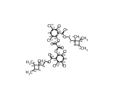 CC1CC(C)(CCOC(=O)c2c(Cl)c(Cl)cc(Cl)c2OC(=O)C(=O)Oc2c(Cl)cc(Cl)c(Cl)c2C(=O)OCCC2(C)CC(C)C2C)C1C